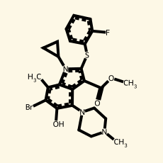 COC(=O)c1c(Sc2ccccc2F)n(C2CC2)c2c(C)c(Br)c(O)c(N3CCN(C)CC3)c12